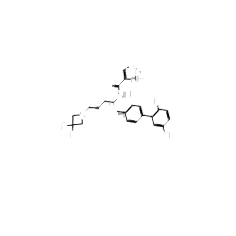 O=C(N[C@H](Cc1ccc(-c2cc(Cl)ccc2F)cc1)C[C@@H](CN1CC(F)(F)C1)C(=O)O)c1cnn[nH]1